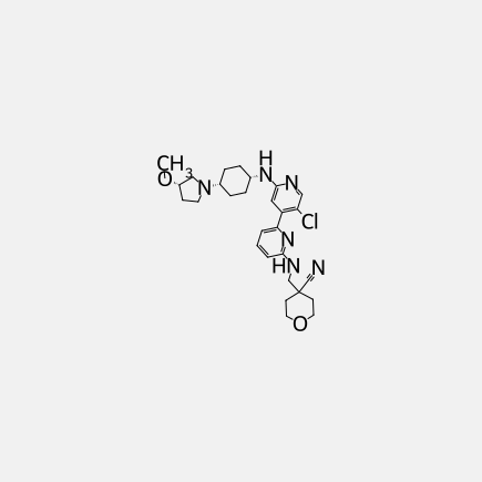 CO[C@H]1CCN([C@H]2CC[C@@H](Nc3cc(-c4cccc(NCC5(C#N)CCOCC5)n4)c(Cl)cn3)CC2)C1